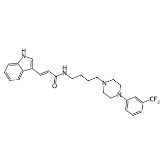 O=C(C=Cc1c[nH]c2ccccc12)NCCCCN1CCN(c2cccc(C(F)(F)F)c2)CC1